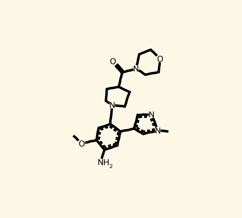 COc1cc(N2CCC(C(=O)N3CCOCC3)CC2)c(-c2cnn(C)c2)cc1N